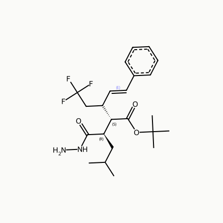 CC(C)C[C@@H](C(=O)NN)[C@@H](C(=O)OC(C)(C)C)C(/C=C/c1ccccc1)CC(F)(F)F